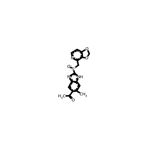 CC(=O)c1cc2nc([S+]([O-])Cc3nccc4c3OCO4)[nH]c2cc1C